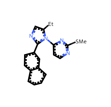 CCc1cnc(-c2ccc3ccccc3c2)n1-c1ccnc(SC)n1